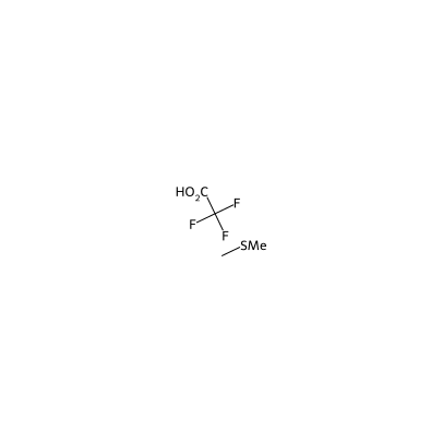 CSC.O=C(O)C(F)(F)F